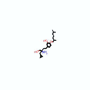 CC(C)CCCC(C)COc1ccc(CCC(N)(CO)CC2CC2)cc1O